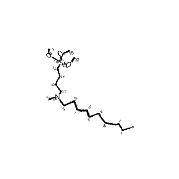 CCCCCCCCCCN(C)CCCC[Si](OC)(OC)OC